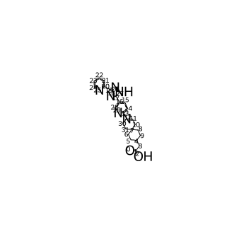 O=C(O)CC1CCC2(CC1)CCN(c1ccc(-c3nc(-c4ccccn4)n[nH]3)cn1)CC2